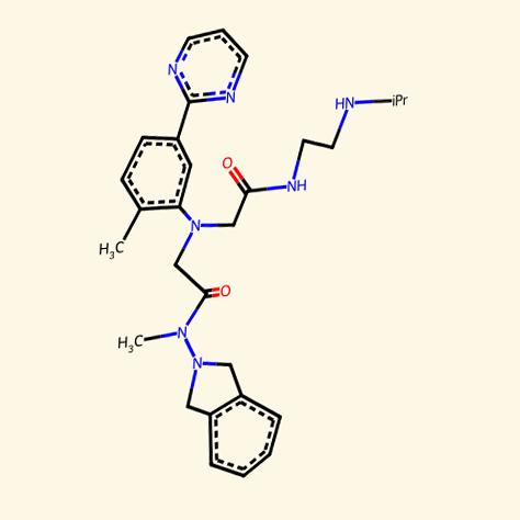 Cc1ccc(-c2ncccn2)cc1N(CC(=O)NCCNC(C)C)CC(=O)N(C)N1Cc2ccccc2C1